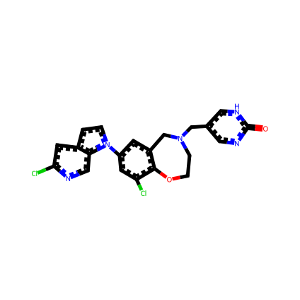 O=c1ncc(CN2CCOc3c(Cl)cc(-n4ccc5cc(Cl)ncc54)cc3C2)c[nH]1